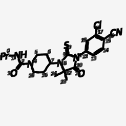 CCCNC(=O)N1CCC(N2C(=S)N(c3ccc(C#N)c(Cl)c3)C(=O)C2(C)C)CC1